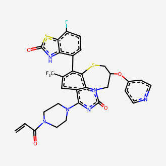 C=CC(=O)N1CCN(c2nc(=O)n3c4c(c(-c5ccc(F)c6sc(=O)[nH]c56)c(C(F)(F)F)cc24)SCC(Oc2ccncc2)C3)CC1